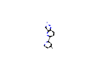 Cc1ccnc(-c2ccc3nn(C)cc3n2)c1